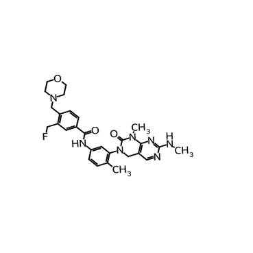 CNc1ncc2c(n1)N(C)C(=O)N(c1cc(NC(=O)c3ccc(CN4CCOCC4)c(CF)c3)ccc1C)C2